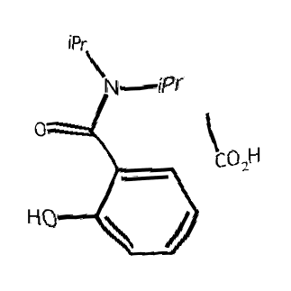 CC(=O)O.CC(C)N(C(=O)c1ccccc1O)C(C)C